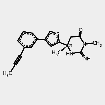 CC#Cc1cccc(-c2csc([C@]3(C)CC(=O)N(C)C(=N)N3)c2)c1